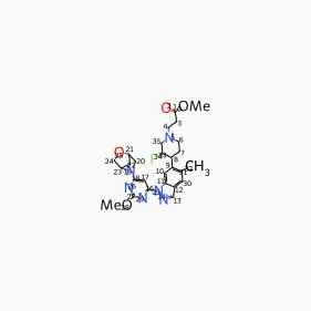 COC(=O)CCN1CCC(c2cc3c(cnn3-c3cc(N4CC5CC4CO5)nc(OC)n3)cc2C)C(F)C1